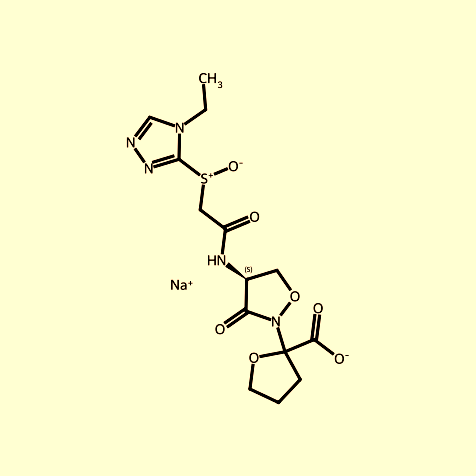 CCn1cnnc1[S+]([O-])CC(=O)N[C@H]1CON(C2(C(=O)[O-])CCCO2)C1=O.[Na+]